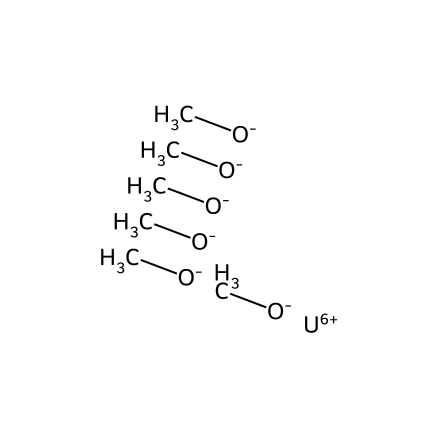 C[O-].C[O-].C[O-].C[O-].C[O-].C[O-].[U+6]